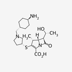 C[C@@H](O)[C@H]1C(=O)N2C(C(=O)O)=C(S[C@@H]3CCN(C[C@H]4CC[C@H](N)CC4)C3)[C@H](C)[C@H]12